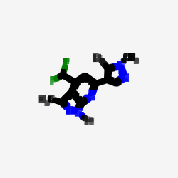 CCc1c(-c2cc(C(F)F)c3c(C)nn(CC)c3n2)cnn1C